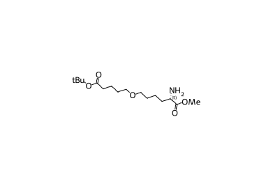 COC(=O)[C@@H](N)CCCCOCCCCC(=O)OC(C)(C)C